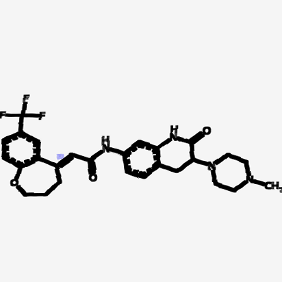 CN1CCN(C2Cc3ccc(NC(=O)/C=C4\CCCOc5ccc(C(F)(F)F)cc54)cc3NC2=O)CC1